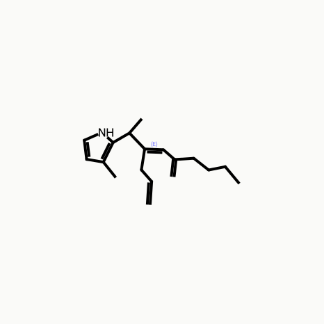 C=CC/C(=C\C(=C)CCCC)C(C)c1[nH]ccc1C